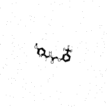 COc1ccc([C@@H](C)NC(=O)COc2cccc(C(F)(F)F)c2)nc1